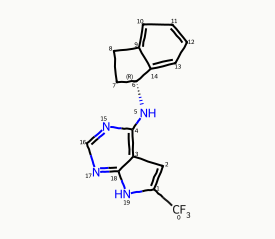 FC(F)(F)c1cc2c(N[C@@H]3CCc4ccccc43)ncnc2[nH]1